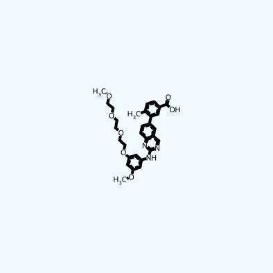 COCCOCCOCCOc1cc(Nc2ncc3cc(-c4cc(C(=O)O)ccc4C)ccc3n2)cc(OC)c1